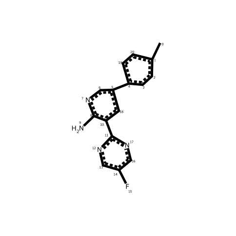 Cc1ccc(-c2cnc(N)c(-c3ncc(F)cn3)c2)cc1